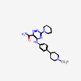 NC(=O)c1nnc(N2CCCCC2)nc1Nc1ccc(C2CCN(C(=O)O)CC2)cc1